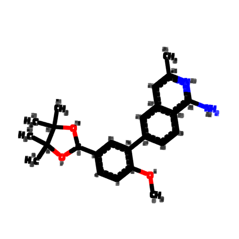 COc1ccc(B2OC(C)(C)C(C)(C)O2)cc1-c1ccc2c(N)nc(C)cc2c1